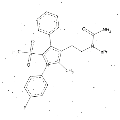 CCCN(CCc1c(-c2ccccc2)c(S(C)(=O)=O)n(-c2ccc(F)cc2)c1C)C(N)=O